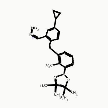 Cc1c(Cc2ccc(C3CC3)cc2/C=N\N)cccc1B1OC(C)(C)C(C)(C)O1